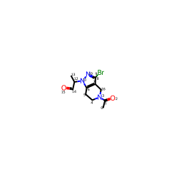 CC(=O)N1CCc2c(c(Br)nn2C(C)C=O)C1